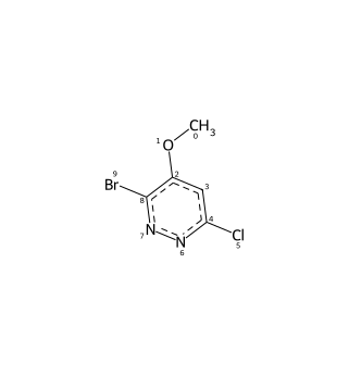 COc1cc(Cl)nnc1Br